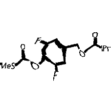 CSC(=O)Oc1c(F)cc(COC(=O)C(C)C)cc1F